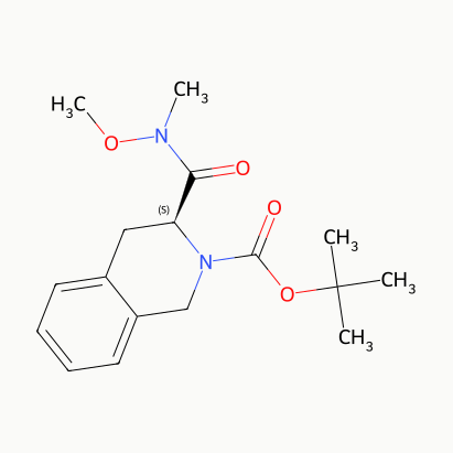 CON(C)C(=O)[C@@H]1Cc2ccccc2CN1C(=O)OC(C)(C)C